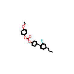 CCCc1ccc(-c2ccc(OC(=O)Oc3ccc(OCC)cc3)cc2)c(F)c1